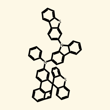 c1ccc(N(c2ccc3c(c2)C2(c4ccccc4Sc4ccccc42)c2cccc4cccc-3c24)c2ccc3c4ccccc4n(-c4ccc5c(c4)sc4ccccc45)c3c2)cc1